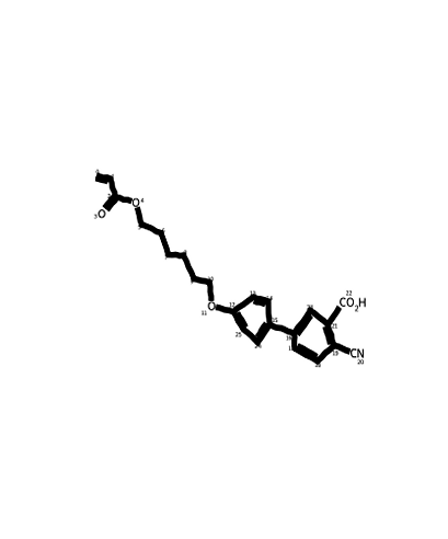 C=CC(=O)OCCCCCCOc1ccc(-c2ccc(C#N)c(C(=O)O)c2)cc1